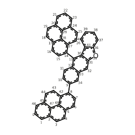 c1cc2ccc3ccc(-c4ccc5c(-c6ccc7ccc8cccc9ccc6c7c89)c6c(cc5c4)oc4ccccc46)c4ccc(c1)c2c34